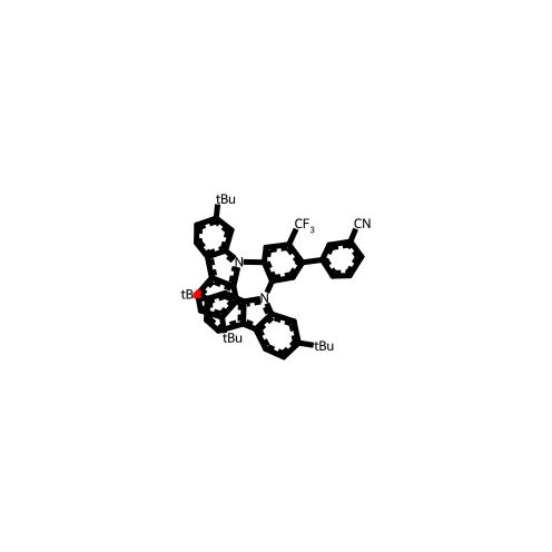 CC(C)(C)c1ccc2c3ccc(C(C)(C)C)cc3n(-c3cc(-c4cccc(C#N)c4)c(C(F)(F)F)cc3-n3c4cc(C(C)(C)C)ccc4c4ccc(C(C)(C)C)cc43)c2c1